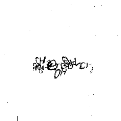 CCCCO[SiH](Cl)OC[C@H]1O[C@@H](n2cc(C)c(=O)[nH]c2=O)C[C@@H]1O